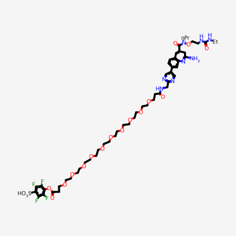 CCCN(OCCNC(=O)NCC)C(=O)C1=Cc2ccc(-c3cnc(CNC(=O)CCOCCOCCOCCOCCOCCOCCOCCOCCOCCOCCC(=O)Oc4c(F)c(F)c(S(=O)(=O)O)c(F)c4F)nc3)cc2N=C(N)C1